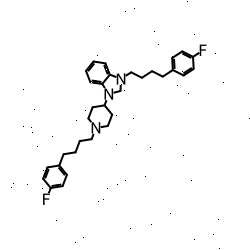 Fc1ccc(CCCCN2CCC(N3CN(CCCCc4ccc(F)cc4)c4ccccc43)CC2)cc1